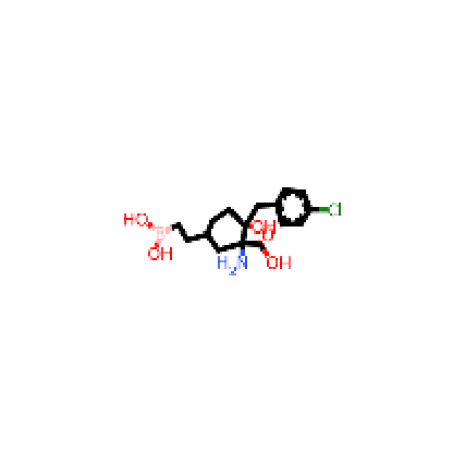 NC1(C(=O)O)CC(CCB(O)O)CCC1(O)Cc1ccc(Cl)cc1